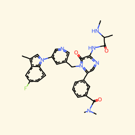 CNC(C)C(=O)Nc1ncc(-c2cccc(C(=O)N(C)C)c2)n(Cc2cncc(-n3cc(C)c4cc(F)ccc43)c2)c1=O